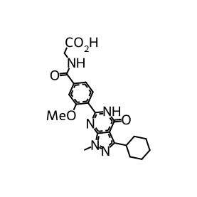 COc1cc(C(=O)NCC(=O)O)ccc1-c1nc2c(c(C3CCCCC3)nn2C)c(=O)[nH]1